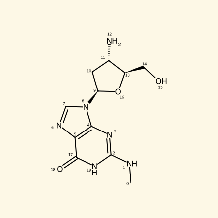 CNc1nc2c(ncn2[C@H]2C[C@H](N)[C@@H](CO)O2)c(=O)[nH]1